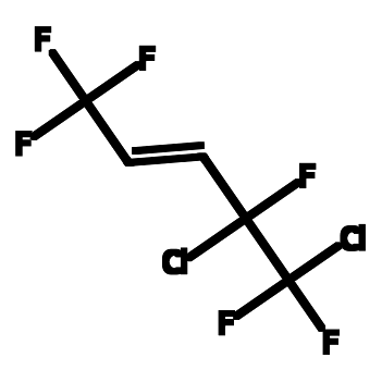 FC(F)(F)C=CC(F)(Cl)C(F)(F)Cl